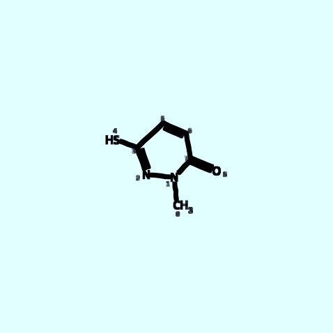 Cn1nc(S)ccc1=O